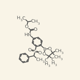 CC(C)OC(=O)Nc1ccc(B2OC(C)(C)C(C)(C)O2)c(S(=O)(=O)C(C)c2ccccc2)c1